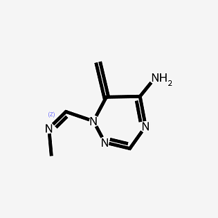 C=C1C(N)=NC=NN1/C=N\C